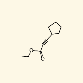 CCOC(=O)C#CC1CCCC1